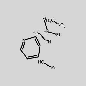 CC#N.CC(C)O.CCNCC.C[N+](=O)[O-].c1ccncc1